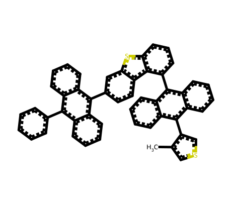 Cc1cscc1-c1c2ccccc2c(-c2cccc3sc4cc(-c5c6ccccc6c(-c6ccccc6)c6ccccc56)ccc4c23)c2ccccc12